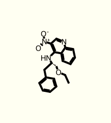 CCOC[C@H](Cc1ccccc1)Nc1c([N+](=O)[O-])cnc2ccccc12